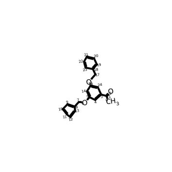 CC(=O)c1cc(OCc2ccccc2)cc(OCc2ccccc2)c1